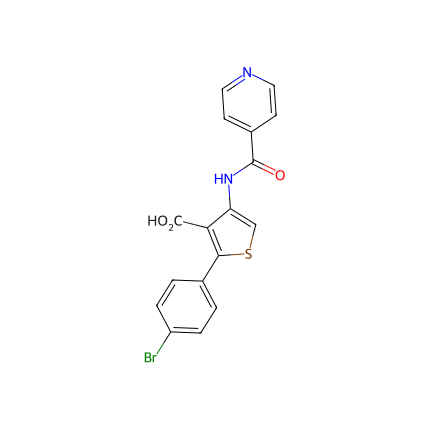 O=C(Nc1csc(-c2ccc(Br)cc2)c1C(=O)O)c1ccncc1